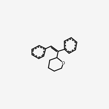 C(=C(c1ccccc1)C1CCCCO1)c1ccccc1